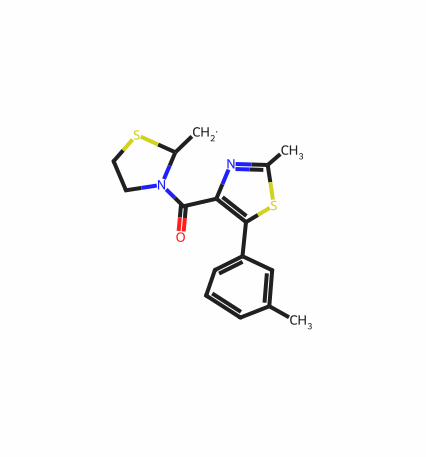 [CH2]C1SCCN1C(=O)c1nc(C)sc1-c1cccc(C)c1